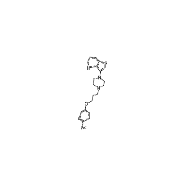 CC(=O)c1ccc(OCCCN2CCN(c3csc4cccnc34)CC2)cc1